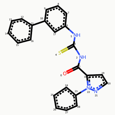 O=C(NC(=S)Nc1cccc(-c2ccccc2)c1)c1ccnn1-c1ccccc1